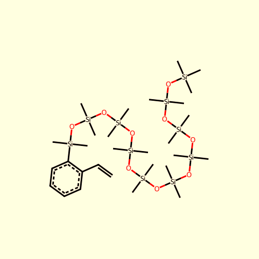 C=Cc1ccccc1[Si](C)(C)O[Si](C)(C)O[Si](C)(C)O[Si](C)(C)O[Si](C)(C)O[Si](C)(C)O[Si](C)(C)O[Si](C)(C)O[Si](C)(C)O[Si](C)(C)C